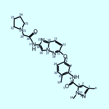 Cc1cc(C(=O)Nc2cc(Oc3ccc4nc(NC(=O)CN5CCCC5)cn4n3)ccc2C)n(C)n1